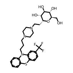 OC[C@H]1O[C@H](CCN2CCN(CCCN3c4ccccc4Sc4ccc(C(F)(F)F)cc43)CC2)[C@H](O)[C@@H](O)[C@@H]1O